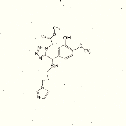 COC(=O)Cn1nnnc1C(NCCCn1ccnc1)c1ccc(OC)c(O)c1